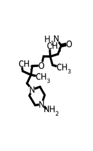 CCC(C)(COCC(C)(CC)CN1CCN(N)CC1)CC(N)=O